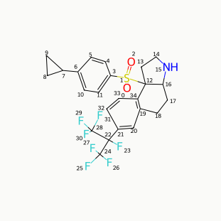 O=S(=O)(c1ccc(C2CC2)cc1)C12CCNC1CCc1cc(C(F)(C(F)(F)F)C(F)(F)F)ccc12